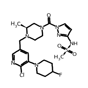 C[C@H]1CN(C(=O)n2ccc(NS(C)(=O)=O)n2)CCN1Cc1cnc(Cl)c(N2CCC(F)CC2)c1